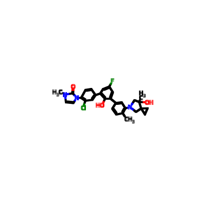 Cc1ccc(-c2cc(F)cc(-c3ccc(-n4ccn(C)c4=O)c(Cl)c3)c2O)cc1N1CC(C)(O)C2(CC2)C1